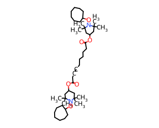 CC1(C)CC(OC(=O)CCCCCCCCC(=O)OC2CC(C)(C)N(OC3CCCCCCC3)C(C)(C)C2)CC(C)(C)N1OC1CCCCCCC1